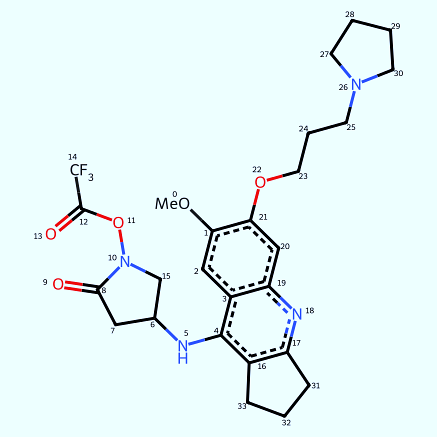 COc1cc2c(NC3CC(=O)N(OC(=O)C(F)(F)F)C3)c3c(nc2cc1OCCCN1CCCC1)CCC3